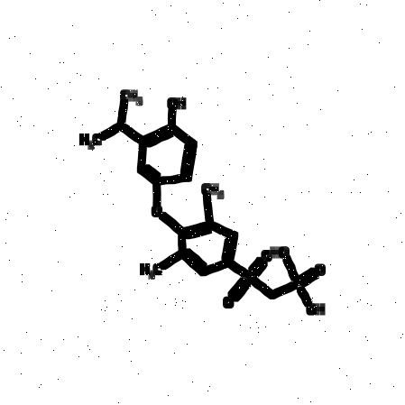 Cc1cc(S(=O)(=O)CP(=O)(O)O)cc(C)c1Oc1ccc(O)c(C(C)C)c1